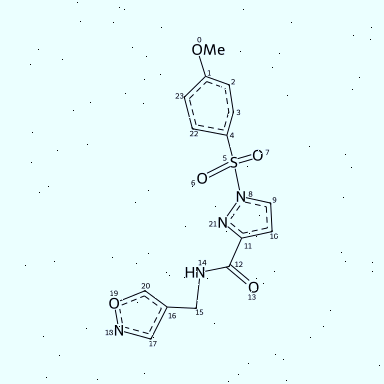 COc1ccc(S(=O)(=O)n2ccc(C(=O)NCc3cnoc3)n2)cc1